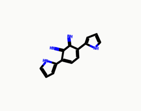 N=C1C(=N)C(c2ccc[nH]2)=CC=C1c1ccc[nH]1